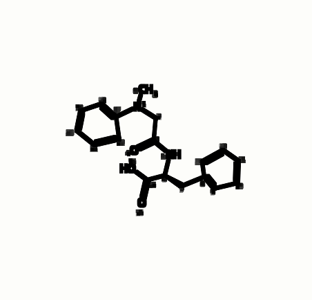 CN(CC(=O)N[C@@H](Cc1ccccc1)C(=O)O)c1ccccc1